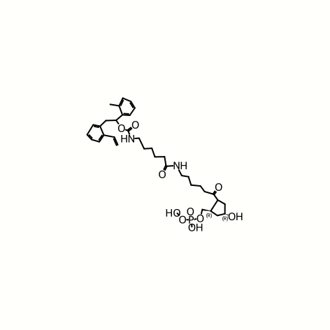 C=Cc1ccccc1CC(OC(=O)NCCCCCC(=O)NCCCCCC(=O)C1C[C@H](O)C[C@H]1COP(=O)(O)OO)c1ccccc1C